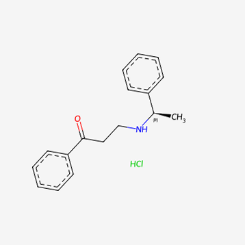 C[C@@H](NCCC(=O)c1ccccc1)c1ccccc1.Cl